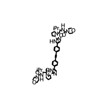 CC(C)[C@H](NC(=O)N1CCOCC1)C(=O)N1CCC[C@H]1c1ncc(-c2ccc(C#Cc3ccc(-c4cnc([C@@H]5CCCN5C(=O)[C@@H](NC(=O)N5CCOCC5)C(C)C)[nH]4)cc3)cc2)[nH]1